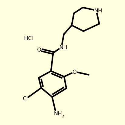 COc1cc(N)c(Cl)cc1C(=O)NCC1CCNCC1.Cl